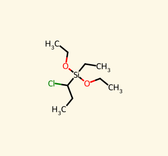 CCO[Si](CC)(OCC)C(Cl)CC